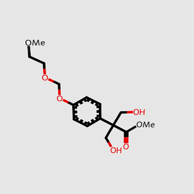 COCCOCOc1ccc(C(CO)(CO)C(=O)OC)cc1